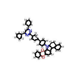 c1ccc(-c2cc(-c3ccccc3)nc(-c3ccc(-c4ccc(-n5c6c(c7ccc8c(c75)Oc5ccccc5O8)-c5ccccc5CC6)cc4)cc3)n2)cc1